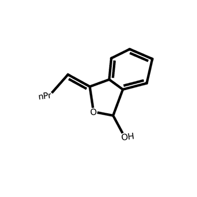 CCC/C=C1\OC(O)c2ccccc21